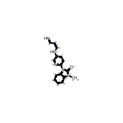 Cn1c(=O)n(-c2ccc(N/C=C\C=N)cn2)c2ccccc21